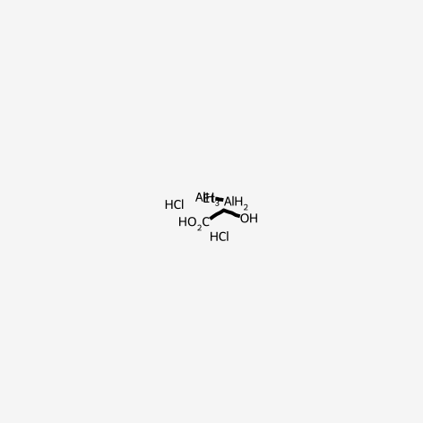 C[CH2][AlH2].Cl.Cl.O=C(O)CO.[AlH3]